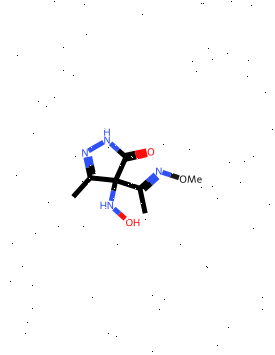 CON=C(C)C1(NO)C(=O)NN=C1C